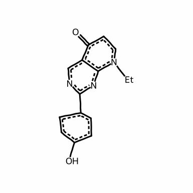 CCn1ccc(=O)c2cnc(-c3ccc(O)cc3)nc21